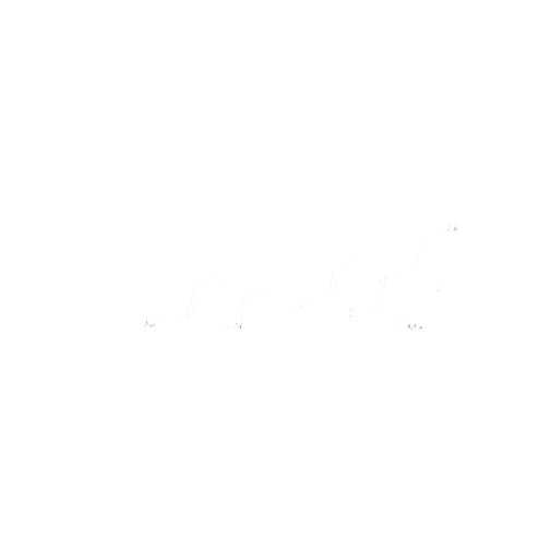 COc1cc(OCc2ccc(C#N)cn2)ccc1C(=O)CBr